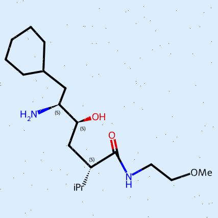 COCCNC(=O)[C@@H](C[C@H](O)[C@@H](N)CC1CCCCC1)C(C)C